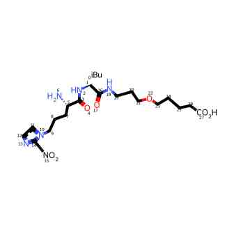 CC[C@H](C)[C@H](NC(=O)[C@@H](N)CCCn1ccnc1[N+](=O)[O-])C(=O)NCCCOCCCCC(=O)O